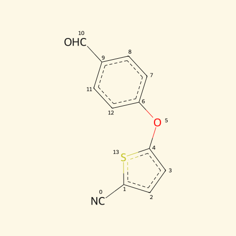 N#Cc1ccc(Oc2ccc(C=O)cc2)s1